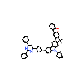 CC1(C)c2cc3oc4ccccc4c3cc2-c2cc3c4cc(C5=CC=C(c6cc(-c7ccccc7)nc(-c7ccccc7)n6)CC5)ccc4n(-c4ccccc4)c3cc21